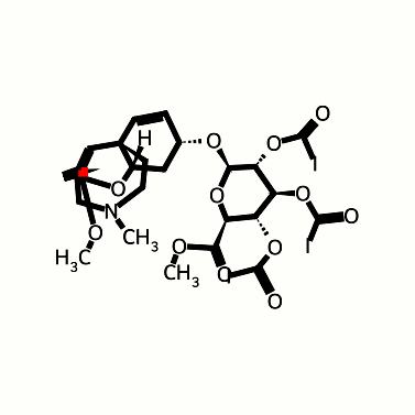 COC(=O)[C@H]1O[C@@H](O[C@H]2C=C[C@@]34CCN(C)Cc5ccc(OC)c(c53)O[C@H]4C2)[C@H](OC(=O)I)[C@@H](OC(=O)I)[C@@H]1OC(=O)I